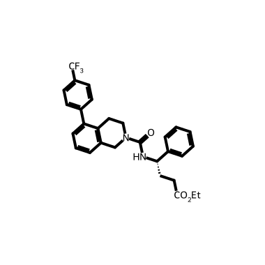 CCOC(=O)CC[C@H](NC(=O)N1CCc2c(cccc2-c2ccc(C(F)(F)F)cc2)C1)c1ccccc1